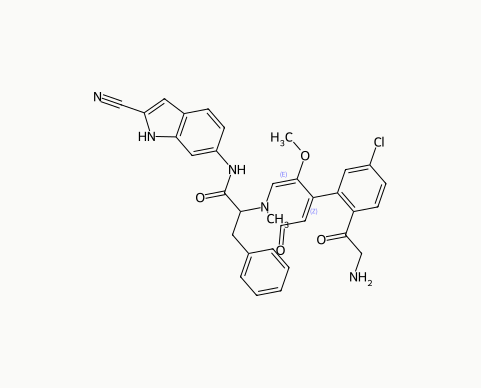 COC(=C/N(C)C(Cc1ccccc1)C(=O)Nc1ccc2cc(C#N)[nH]c2c1)/C(=C\C=O)c1cc(Cl)ccc1C(=O)CN